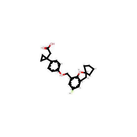 O=C(O)CC1(c2ccc(OCc3cc(F)cc4c3OC3(CCCC3)C4)cc2)CC1